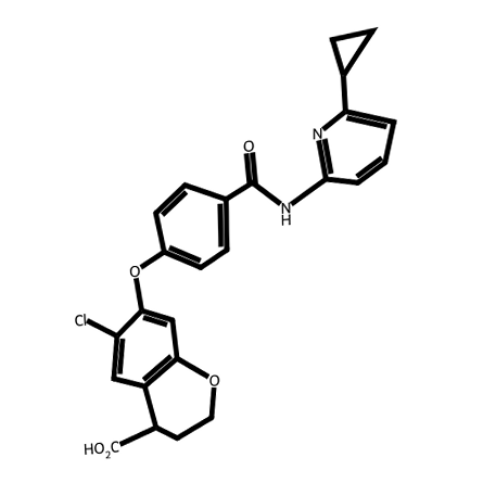 O=C(Nc1cccc(C2CC2)n1)c1ccc(Oc2cc3c(cc2Cl)C(C(=O)O)CCO3)cc1